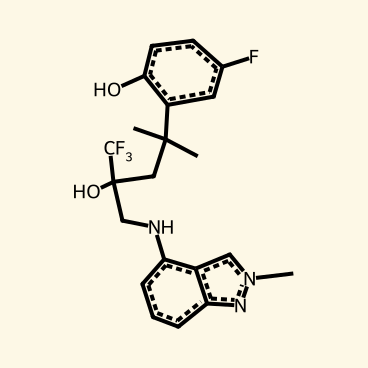 Cn1cc2c(NCC(O)(CC(C)(C)c3cc(F)ccc3O)C(F)(F)F)cccc2n1